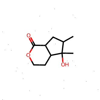 CC1CC2C(=O)OCCC2C1(C)O